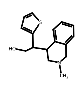 CN1Cc2ccccc2C(C(CO)c2cccs2)C1